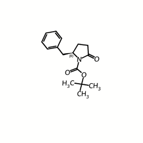 CC(C)(C)OC(=O)N1C(=O)CC[C@@H]1Cc1ccccc1